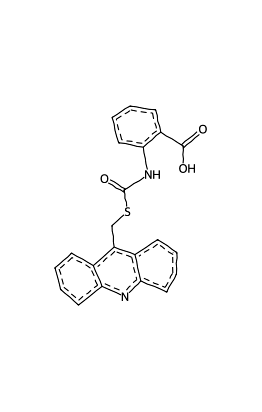 O=C(Nc1ccccc1C(=O)O)SCc1c2ccccc2nc2ccccc12